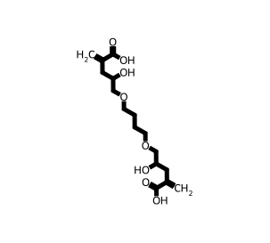 C=C(CC(O)COCCCCOCC(O)CC(=C)C(=O)O)C(=O)O